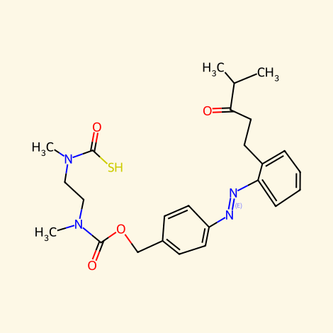 CC(C)C(=O)CCc1ccccc1/N=N/c1ccc(COC(=O)N(C)CCN(C)C(=O)S)cc1